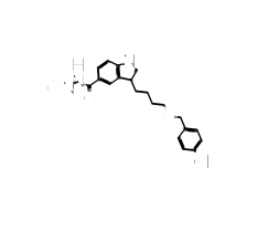 O=NNC(=O)c1ccc2c(c1)C(CCCCOCc1ccc(C(F)(F)F)cc1)C=N2